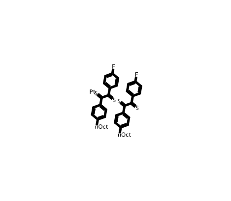 CCCCCCCCc1ccc(C(=S)C(=S)c2ccc(F)cc2)cc1.CCCCCCCCc1ccc(C(=S)C(=S)c2ccc(F)cc2)cc1.[Pt]